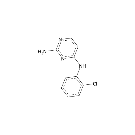 Nc1nccc(Nc2ccccc2Cl)n1